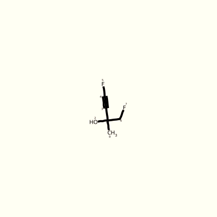 CC(O)(C#CF)CF